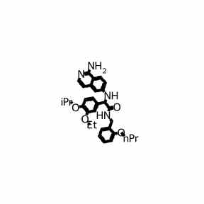 CCCOc1ccccc1CNC(=O)C(Nc1ccc2c(N)nccc2c1)c1ccc(OC(C)C)c(OCC)c1